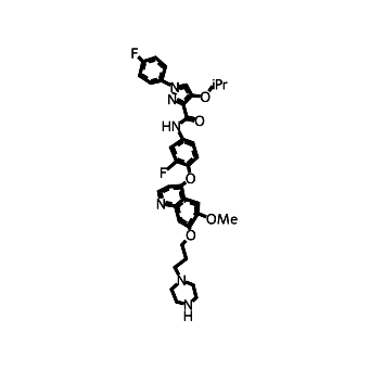 COc1cc2c(Oc3ccc(NC(=O)c4nn(-c5ccc(F)cc5)cc4OC(C)C)cc3F)ccnc2cc1OCCCN1CCNCC1